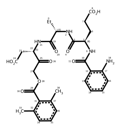 CC[C@H](NC(=O)[C@@H](CCC(=O)O)NC(=O)c1ccccc1N)C(=O)N[C@@H](CC(=O)O)C(=O)COC(=O)c1c(C)cccc1C